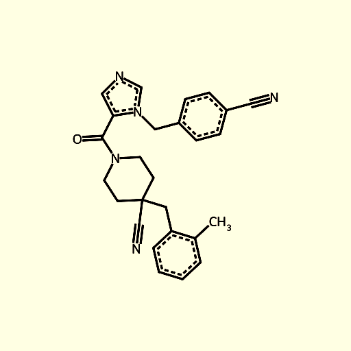 Cc1ccccc1CC1(C#N)CCN(C(=O)c2cncn2Cc2ccc(C#N)cc2)CC1